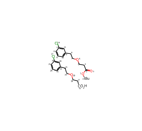 CC(C)(C)OC(=O)CCOCCc1cccc(Cl)c1.O=C(O)CCOCCc1cccc(Cl)c1